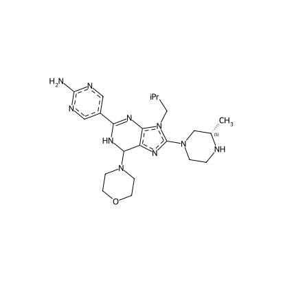 CC(C)Cn1c(N2CCN[C@@H](C)C2)nc2c1N=C(c1cnc(N)nc1)NC2N1CCOCC1